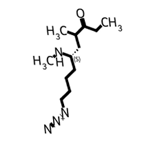 CCC(=O)C(C)C[C@H](CCCCN=[N+]=[N-])NC